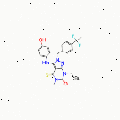 Cn1c(=S)c2c(Nc3ccc(O)cc3)n(Cc3ccc(C(C)(F)F)cc3)nc2n(CC(C)(C)C)c1=O